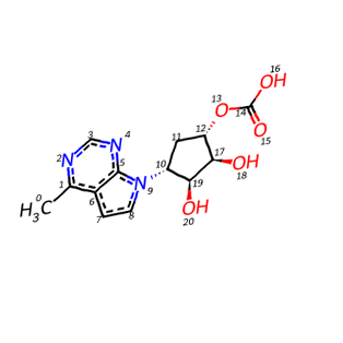 Cc1ncnc2c1ccn2[C@@H]1C[C@H](OC(=O)O)[C@@H](O)[C@H]1O